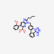 CCCCc1nc2cc(-c3ccccc3OC)c(C(OC)OC)nc2n1Cc1ccc(-c2ccccc2-c2nnn[nH]2)cc1